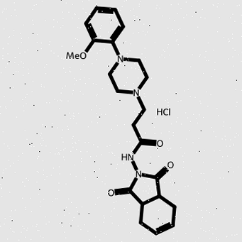 COc1ccccc1N1CCN(CCC(=O)NN2C(=O)C3CC=CCC3C2=O)CC1.Cl